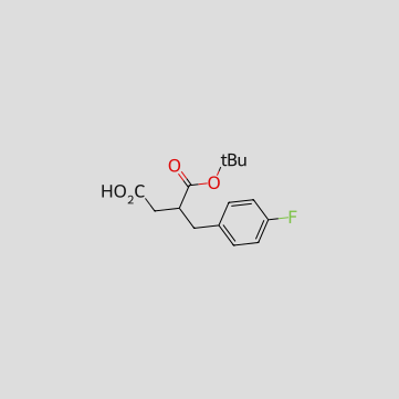 CC(C)(C)OC(=O)C(CC(=O)O)Cc1ccc(F)cc1